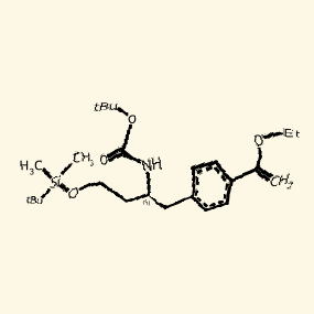 C=C(OCC)c1ccc(C[C@@H](CCO[Si](C)(C)C(C)(C)C)NC(=O)OC(C)(C)C)cc1